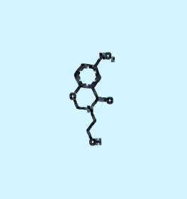 O=C1c2cc([N+](=O)[O-])ccc2OCN1CCO